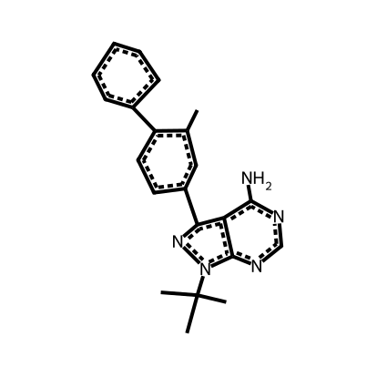 Cc1cc(-c2nn(C(C)(C)C)c3ncnc(N)c23)ccc1-c1ccccc1